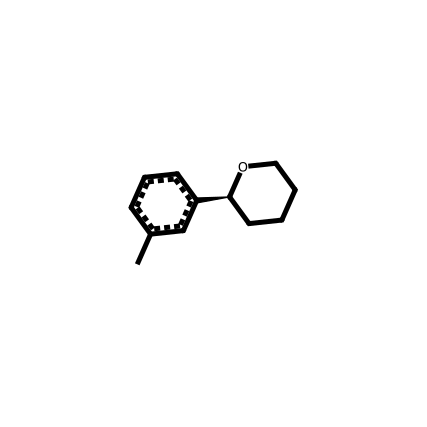 Cc1cccc([C@@H]2CCCCO2)c1